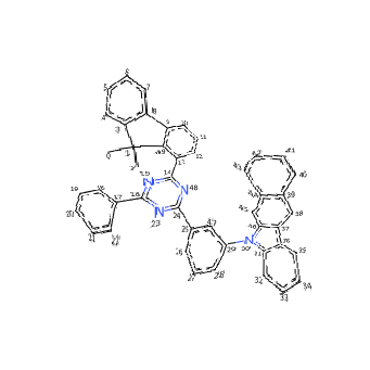 CC1(C)c2ccccc2-c2cccc(-c3nc(-c4ccccc4)nc(-c4cccc(-n5c6ccccc6c6cc7ccccc7cc65)c4)n3)c21